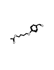 CC(=O)OCCCCOc1ccc(C=O)cc1